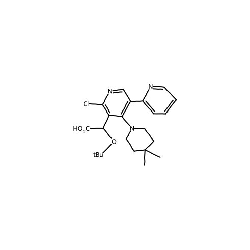 CC1(C)CCN(c2c(-c3ccccn3)cnc(Cl)c2C(OC(C)(C)C)C(=O)O)CC1